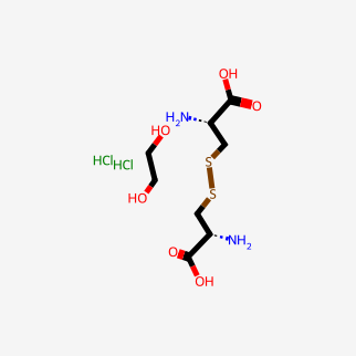 Cl.Cl.N[C@@H](CSSC[C@H](N)C(=O)O)C(=O)O.OCCO